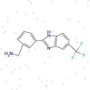 NCc1cccc(-c2nc3cc(C(F)(F)F)ccc3[nH]2)c1